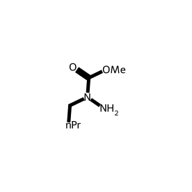 CCCCN(N)C(=O)OC